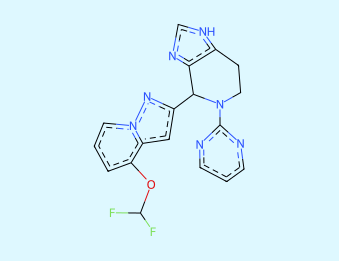 FC(F)Oc1cccn2nc(C3c4nc[nH]c4CCN3c3ncccn3)cc12